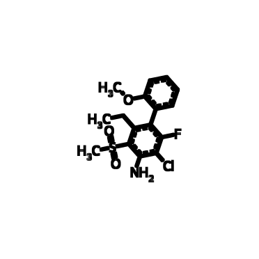 CCc1c(-c2ccccc2OC)c(F)c(Cl)c(N)c1S(C)(=O)=O